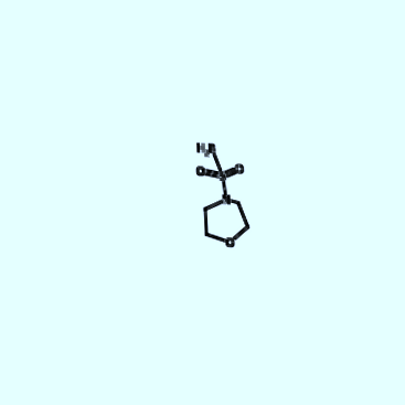 BS(=O)(=O)N1CCOCC1